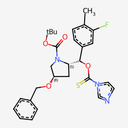 Cc1ccc(C(OC(=S)n2ccnc2)[C@@H]2C[C@@H](OCc3ccccc3)CN2C(=O)OC(C)(C)C)cc1F